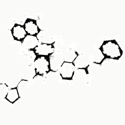 CN1CCCC1COc1nc(N2CCN(C(=O)OCc3ccccc3)C(CC#N)C2)c2nc(C(F)(F)F)n(-c3cccc4cccc(F)c34)c(=O)c2n1